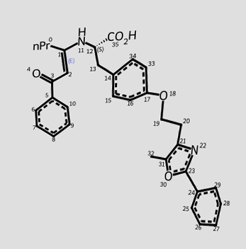 CCC/C(=C\C(=O)c1ccccc1)N[C@@H](Cc1ccc(OCCc2nc(-c3ccccc3)oc2C)cc1)C(=O)O